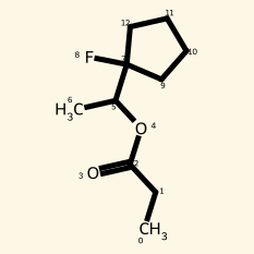 CCC(=O)OC(C)C1(F)CCCC1